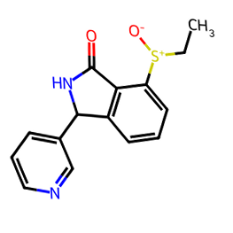 CC[S+]([O-])c1cccc2c1C(=O)NC2c1cccnc1